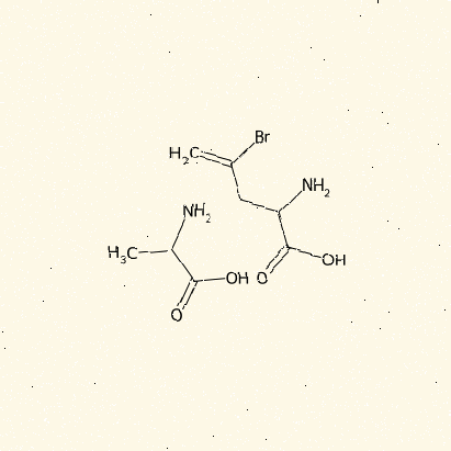 C=C(Br)CC(N)C(=O)O.CC(N)C(=O)O